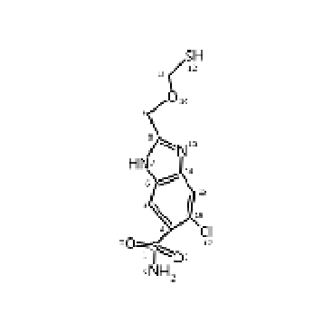 NS(=O)(=O)c1cc2[nH]c(COCS)nc2cc1Cl